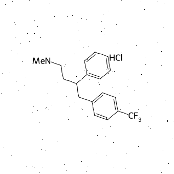 CNCCC(Cc1ccc(C(F)(F)F)cc1)c1ccccc1.Cl